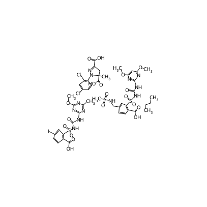 CC1(C(=O)O)CC(C(=O)O)=NN1c1ccc(Cl)cc1Cl.CCCC.COc1cc(OC)nc(NC(=O)NS(=O)(=O)c2cc(CNS(C)(=O)=O)ccc2C(=O)O)n1.COc1nc(C)nc(NC(=O)NS(=O)(=O)c2cc(I)ccc2C(=O)O)n1